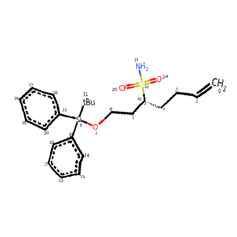 C=CCC[C@H](CCO[Si](c1ccccc1)(c1ccccc1)C(C)(C)C)S(N)(=O)=O